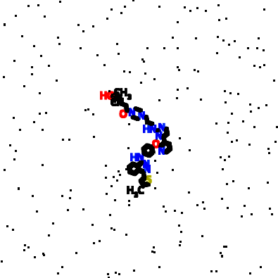 Cc1csc(-c2nnc(Nc3ccc(Oc4ncccc4-c4ccnc(NCCCN5CCN(C(=O)CCC[Si](C)(C)O)CC5)n4)cc3)c3ccccc23)c1